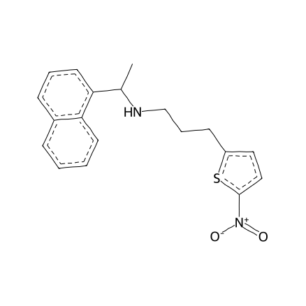 CC(NCCCc1ccc([N+](=O)[O-])s1)c1cccc2ccccc12